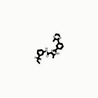 CCC(F)(F)c1cccc(NC(=O)c2nc(-c3cccc(-c4nccnc4C)c3)[nH]c2C)c1